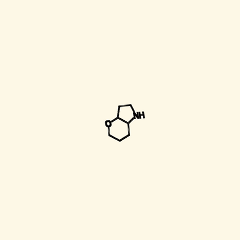 C1COC2CCNC2C1